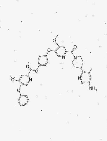 COc1cc(C(=O)Oc2ccc(Oc3cnc(C(=O)N4CCC(c5nnc(N)cc5C)CC4)cc3OC)cc2)ncc1Oc1ccccc1